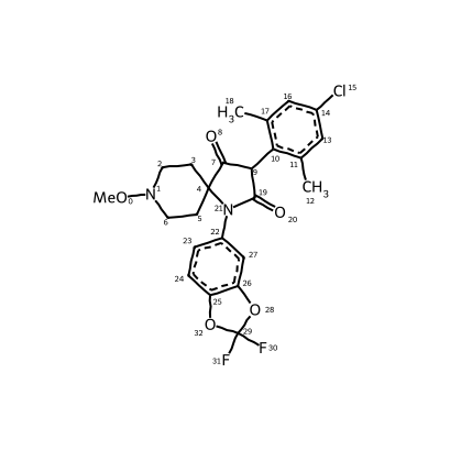 CON1CCC2(CC1)C(=O)C(c1c(C)cc(Cl)cc1C)C(=O)N2c1ccc2c(c1)OC(F)(F)O2